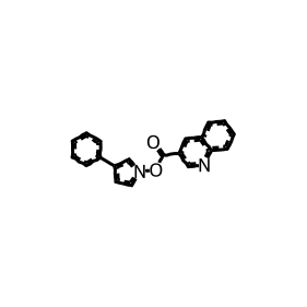 O=C(On1ccc(-c2ccccc2)c1)c1cnc2ccccc2c1